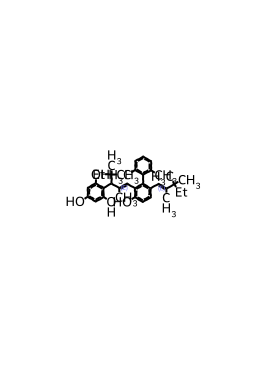 CCC(C)(C)/C(C)=C/c1ccc(O)c(/C=C(\C)C(c2c(O)cc(O)cc2O)C(C)(C)CC)c1-c1c(C)cccc1C